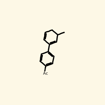 CC(=O)c1ccc(C2=CC(C)CC=C2)cc1